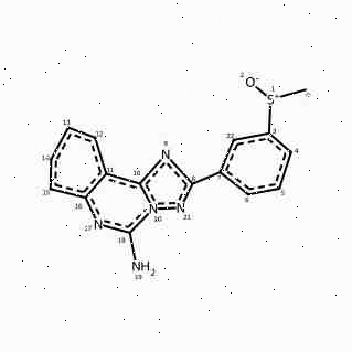 C[S+]([O-])c1cccc(-c2nc3c4ccccc4nc(N)n3n2)c1